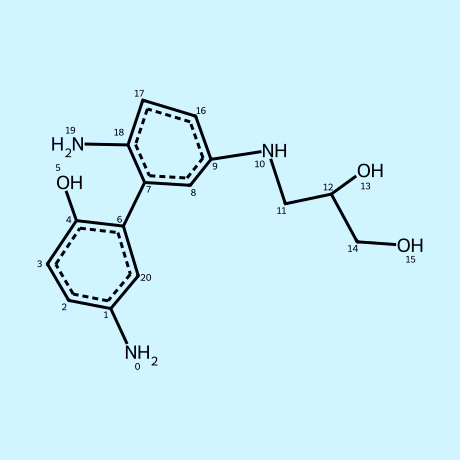 Nc1ccc(O)c(-c2cc(NCC(O)CO)ccc2N)c1